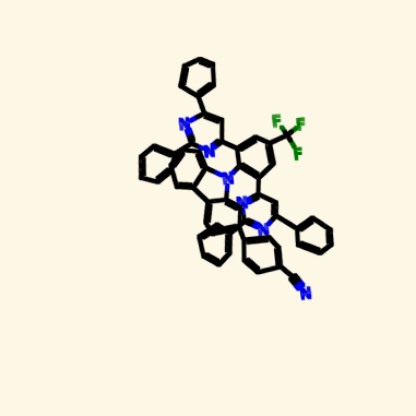 N#Cc1ccc(-c2ccc3c4ccccc4n(-c4c(-c5cc(-c6ccccc6)nc(-c6ccccc6)n5)cc(C(F)(F)F)cc4-c4cc(-c5ccccc5)nc(-c5ccccc5)n4)c3c2)cc1